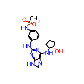 CS(=O)(=O)Nc1cccc(Nc2nc(N[C@H]3CCC[C@@H]3O)c3nc[nH]c3n2)c1